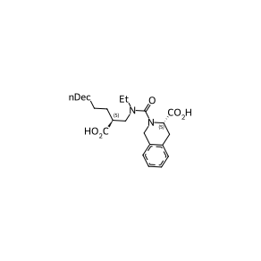 CCCCCCCCCCCC[C@@H](CN(CC)C(=O)N1Cc2ccccc2C[C@H]1C(=O)O)C(=O)O